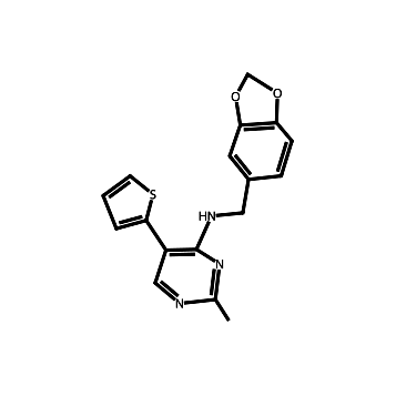 Cc1ncc(-c2cccs2)c(NCc2ccc3c(c2)OCO3)n1